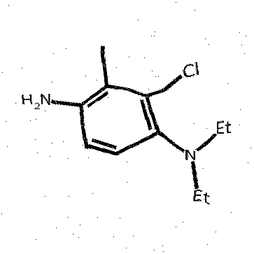 CCN(CC)c1ccc(N)c(C)c1Cl